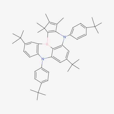 CC1=C(C)C(C)(C)C2=C1N(c1ccc(C(C)(C)C)cc1)c1cc(C(C)(C)C)cc3c1B2c1cc(C(C)(C)C)ccc1N3c1ccc(C(C)(C)C)cc1